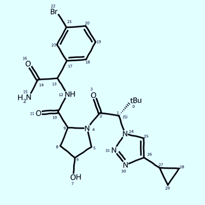 CC(C)(C)[C@@H](C(=O)N1CC(O)CC1C(=O)NC(C(N)=O)c1cccc(Br)c1)n1cc(C2CC2)nn1